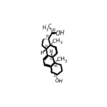 C[C@H](O)[C@H]1CC[C@H]2C3=CC=C4C[C@@H](O)CC[C@]4(C)[C@H]3CC[C@]12C